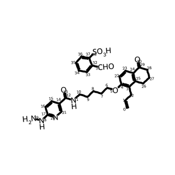 C=CCc1c(OCCCCCNC(=O)c2ccc(NN)nc2)ccc2c1CCCC2=O.O=Cc1ccccc1S(=O)(=O)O